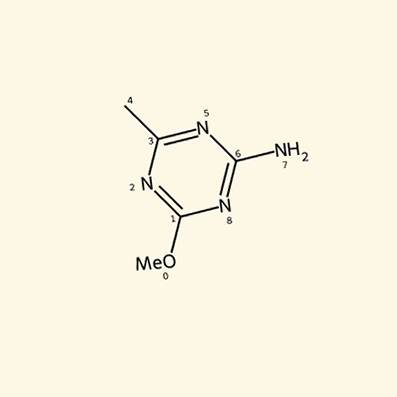 [CH2]Oc1nc(C)nc(N)n1